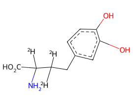 [2H]C([2H])(Cc1ccc(O)c(O)c1)C([2H])(N)C(=O)O